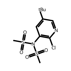 CC(C)(C)c1cnc(Cl)c(N(S(C)(=O)=O)S(C)(=O)=O)c1